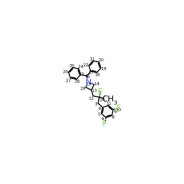 CC(F)(Cc1cc(F)cc(F)c1)CC1CN(C(c2ccccc2)c2ccccc2)C1